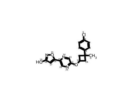 CC1(c2ccc(Cl)cc2)CC(Oc2cnc(-c3cc(O)no3)cn2)C1